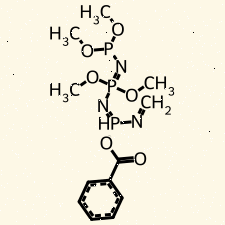 C=N/[PH](=N\P(=NP(OC)OC)(OC)OC)OC(=O)c1ccccc1